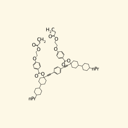 C=CC(=O)OCCOc1ccc(C(=O)OC2(C#Cc3ccc(C#CC4(OC(=O)c5ccc(OCCOC(=O)C=C)cc5)CCC(C5CCC(CCC)CC5)CC4)cc3)CCC(C3CCC(CCC)CC3)CC2)cc1